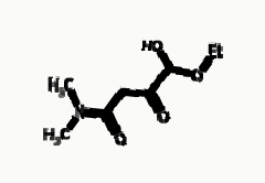 CCOC(O)C(=O)CC(=O)N(C)C